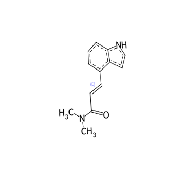 CN(C)C(=O)/C=C/c1cccc2[nH]ccc12